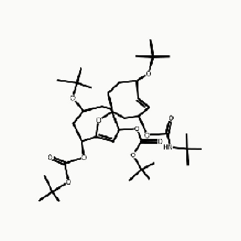 CC(C)(C)NC(=O)OC1/C=C/C(OC(C)(C)C)CCC(O/C2=C\C(OC(=O)OC(C)(C)C)CCC(OC(C)(C)C)CC2OC(=O)OC(C)(C)C)C1